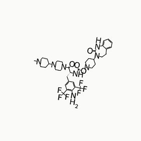 CN1CCC(N2CCN(C(=O)[C@@H](Cc3cc(C(F)(F)F)c(N)c(C(F)(F)F)c3)NC(=O)ON3CCC(N4CCc5ccccc5NC4=O)CC3)CC2)CC1